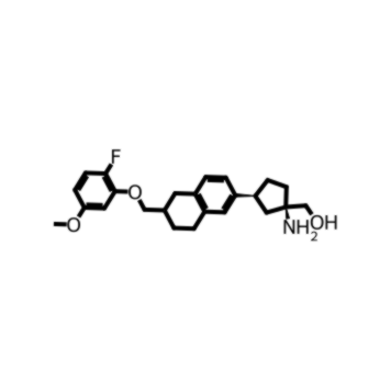 COc1ccc(F)c(OCC2CCc3cc([C@H]4CC[C@](N)(CO)C4)ccc3C2)c1